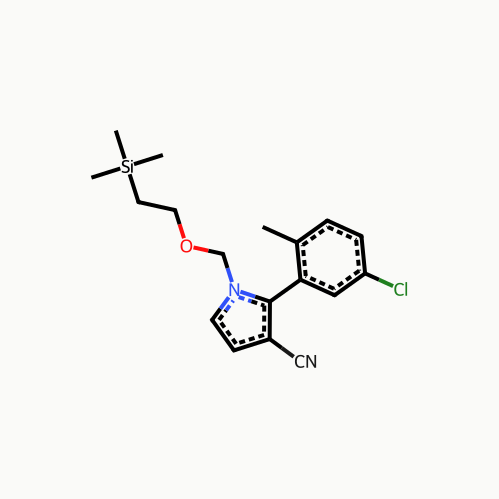 Cc1ccc(Cl)cc1-c1c(C#N)ccn1COCC[Si](C)(C)C